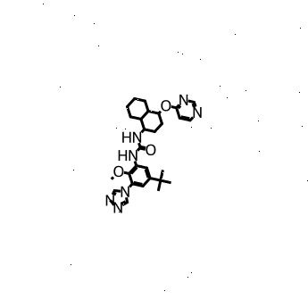 COc1c(NC(=O)NC2CCC(Oc3ccncn3)C3CCCCC23)cc(C(C)(C)C)cc1-n1cnnc1